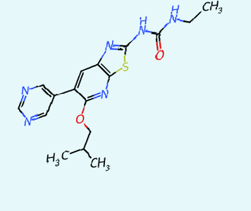 CCNC(=O)Nc1nc2cc(-c3cncnc3)c(OCC(C)C)nc2s1